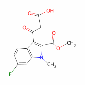 COC(=O)c1c(C(=O)CC(=O)O)c2ccc(F)cc2n1C